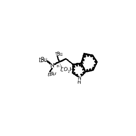 CC(C)(C)N(C(C)(C)C)[C@@](Cc1c[nH]c2ccccc12)(C(=O)O)C(C)(C)C